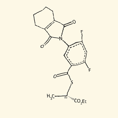 CCOC(=O)[C@H](C)SC(=O)c1cc(N2C(=O)C3=C(CCCC3)C2=O)c(F)cc1F